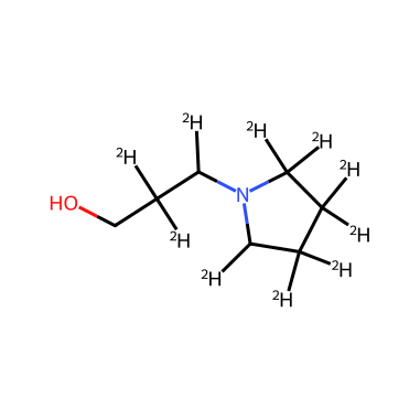 [2H]C(N1C([2H])C([2H])([2H])C([2H])([2H])C1([2H])[2H])C([2H])([2H])CO